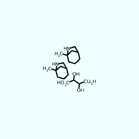 CC12CCCC(CN1)C2.CC12CCCC(CN1)C2.O=C(O)C(O)C(O)C(=O)O